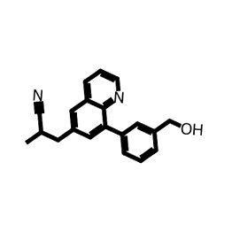 CC(C#N)Cc1cc(-c2cccc(CO)c2)c2ncccc2c1